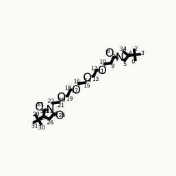 CC(C)(C)C1CN(C(=O)CCOCCOCCOCCOCCN2C(=O)CC(C(C)(C)C)C2=O)C1